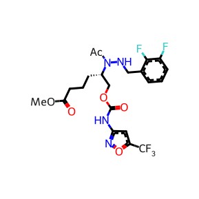 COC(=O)CCC[C@@H](COC(=O)Nc1cc(C(F)(F)F)on1)N(NCc1cccc(F)c1F)C(C)=O